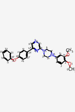 COc1ccc(N2CCN(c3cncc(-c4ccc(Oc5ccccc5)cc4)n3)CC2)cc1OC